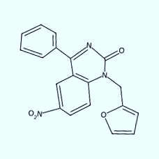 O=c1nc(-c2ccccc2)c2cc([N+](=O)[O-])ccc2n1Cc1ccco1